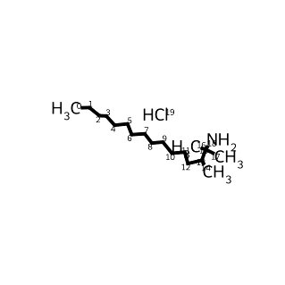 CCCCCCCCCCCCCC(C)C(C)(C)N.Cl